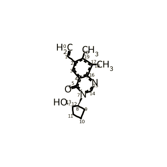 C=Cc1cc2c(=O)n([C@H]3CCC[C@@H]3O)cnc2c(C)c1C